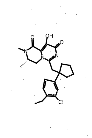 CCc1ccc(C2(Cc3nc(=O)c(O)c4n3C[C@H](C)N(C)C4=O)CCCC2)cc1Cl